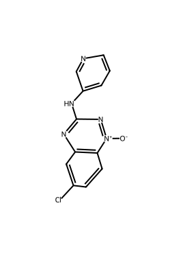 [O-][n+]1nc(Nc2cccnc2)nc2cc(Cl)ccc21